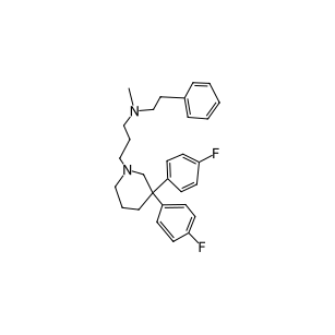 CN(CCCN1CCCC(c2ccc(F)cc2)(c2ccc(F)cc2)C1)CCc1ccccc1